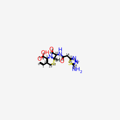 C=CC1=C(C(=O)O)N2C(=O)C(NC(=O)Cc3nnc(N)s3)[C@H]2SC1